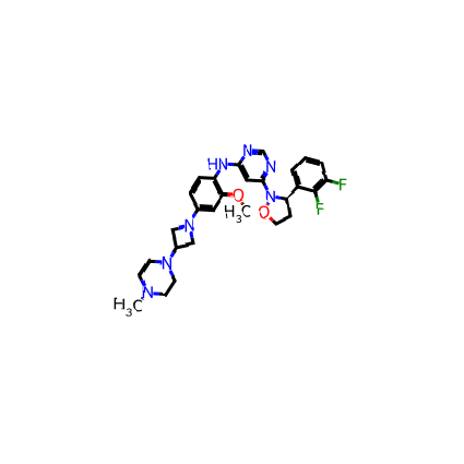 COc1cc(N2CC(N3CCN(C)CC3)C2)ccc1Nc1cc(N2OCC[C@@H]2c2cccc(F)c2F)ncn1